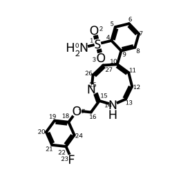 NS(=O)(=O)c1ccccc1-c1ccc[nH]c(COc2cccc(F)c2)ncc1